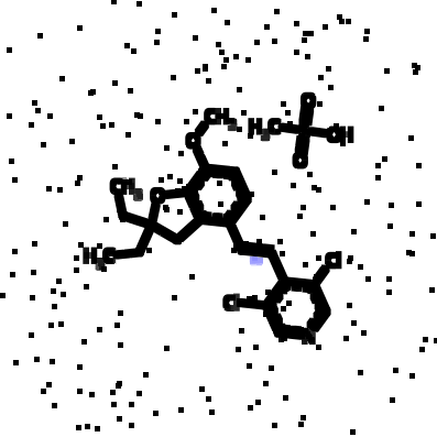 CCC1(CC)Cc2c(/C=C/c3c(Cl)cncc3Cl)ccc(OC)c2O1.CS(=O)(=O)O